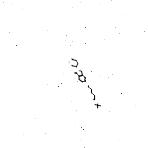 CC(C)(C)OC(=O)CCCCOc1ccc2c(c1)CN(C1CCC(=O)NC1=O)C2=O